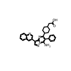 Nc1c(-c2ccccc2)c(C2CCC(CC(=O)O)CC2)nc2c(-c3cnc4ccccc4c3)cnn12